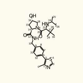 Cc1ncsc1-c1ccc(CNC(=O)[C@H]2C[C@H](O)CN2C(=O)[C@@H](NC(C)I)C(C)(C)C)cc1